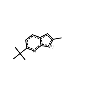 Cc1cc2ccc(C(C)(C)C)nc2[nH]1